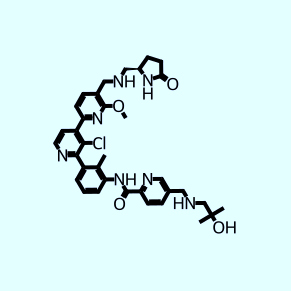 COc1nc(-c2ccnc(-c3cccc(NC(=O)c4ccc(CNCC(C)(C)O)cn4)c3C)c2Cl)ccc1CNC[C@H]1CCC(=O)N1